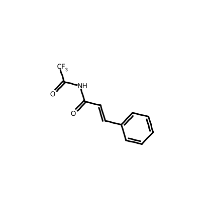 O=C(/C=C/c1ccccc1)NC(=O)C(F)(F)F